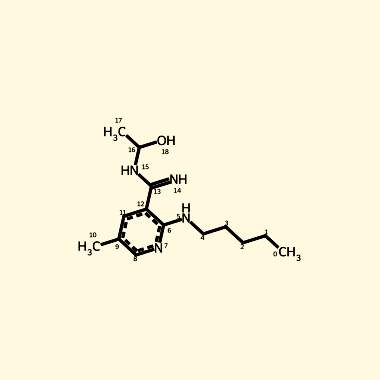 CCCCCNc1ncc(C)cc1C(=N)NC(C)O